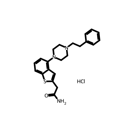 Cl.NC(=O)Cc1cc2c(N3CCN(CCc4ccccc4)CC3)cccc2s1